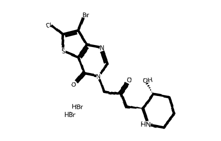 Br.Br.O=C(C[C@@H]1NCCC[C@H]1O)Cn1cnc2c(Br)c(Cl)sc2c1=O